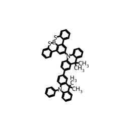 CC1(C)c2ccccc2N(c2ccccc2)c2ccc(-c3ccc4c(c3)C(C)(C)c3ccccc3N4c3cc4c5c(c3)-c3ccccc3SB5Sc3ccccc3-4)cc21